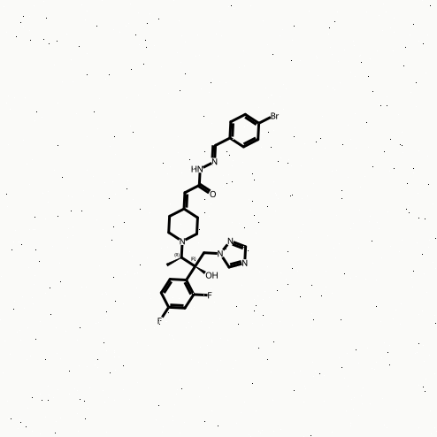 C[C@@H](N1CCC(=CC(=O)NN=Cc2ccc(Br)cc2)CC1)[C@](O)(Cn1cncn1)c1ccc(F)cc1F